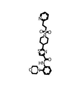 O=C(Nc1ccccc1N1CCOCC1)c1csc(C2CCN(S(=O)(=O)CCc3ccccn3)CC2)n1